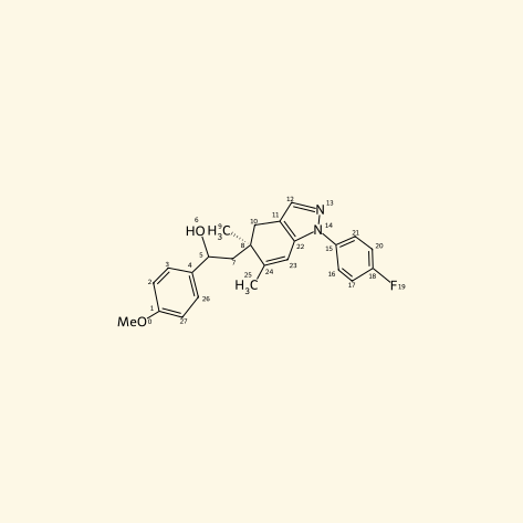 COc1ccc(C(O)C[C@@]2(C)Cc3cnn(-c4ccc(F)cc4)c3C=C2C)cc1